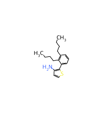 CCCCc1cccc(-c2sccc2N)c1CCCC